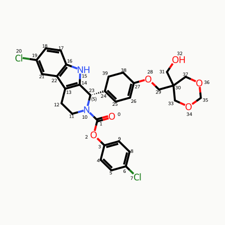 O=C(Oc1ccc(Cl)cc1)N1CCc2c([nH]c3ccc(Cl)cc23)[C@@H]1C1=CC=C(OCC2(CO)COCOC2)CC1